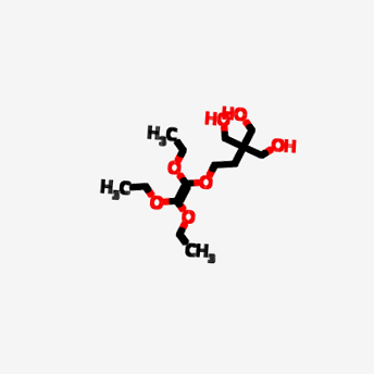 CCOC(OCC)=C(OCC)OCCC(CO)(CO)CO